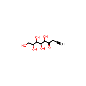 C#CCC(=O)C(O)C(O)C(O)C(O)CO